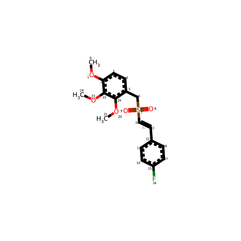 COc1ccc(CS(=O)(=O)/C=C/c2ccc(F)cc2)c(OC)c1OC